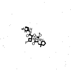 COC(=O)N[C@@H](CC1(C)CCCC1)C(=O)N[C@]1(C(=O)C(=O)Nc2ccn(C)n2)C[C@@H](F)C1